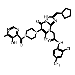 CCC1=C(N2CCN(C(=O)c3ncnc(C)c3O)CC2)C(=O)N2NC(=CC3CCCC3)N=C2N1CC(=O)Nc1ccc(C(F)(F)F)cc1Cl